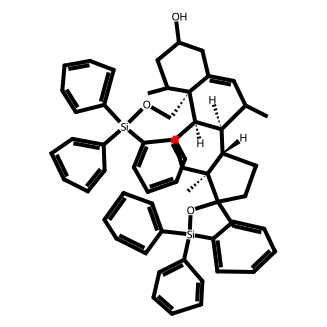 CC1C=C2CC(O)CC(C)[C@]2(CO[Si](c2ccccc2)(c2ccccc2)c2ccccc2)[C@@H]2CC[C@@]3(C)[C@@H](CCC3(C)O[Si](c3ccccc3)(c3ccccc3)c3ccccc3)[C@H]12